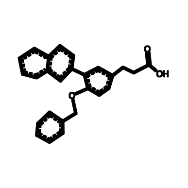 O=C(O)CCc1ccc(OCc2ccccc2)c(-c2ccc3ccccc3c2)c1